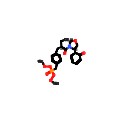 CC(C)(C)OOP(=O)(Cc1ccc(C[C@H](CC(=O)O)C(=O)N2COC[C@@H]2C2C=CC=CC2=O)cc1)OOC(C)(C)C